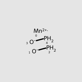 [Mn+2].[O-]P.[O-]P